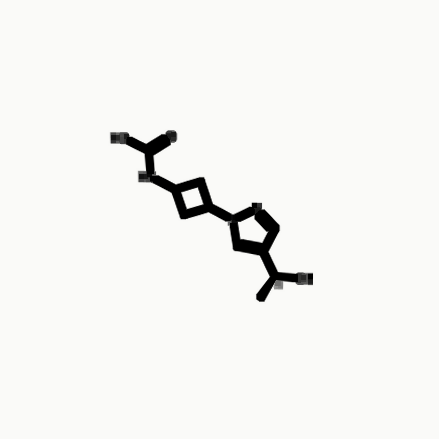 C[C@H](O)c1cnn(C2CC(NC(=O)O)C2)c1